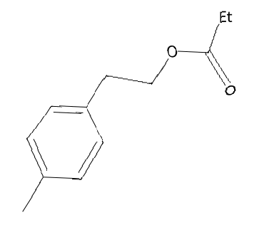 CCC(=O)OCCc1ccc(C)cc1